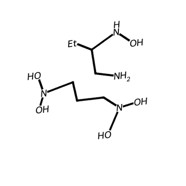 CCC(CN)NO.ON(O)CCCN(O)O